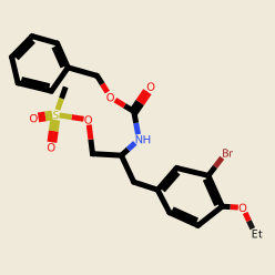 CCOc1ccc(CC(COS(C)(=O)=O)NC(=O)OCc2ccccc2)cc1Br